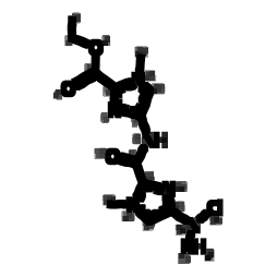 CCOC(=O)c1nc(NC(=O)c2nc(N(N)Cl)cn2C)cn1C